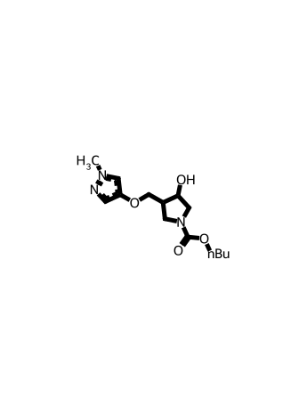 CCCCOC(=O)N1CC(O)C(COc2cnn(C)c2)C1